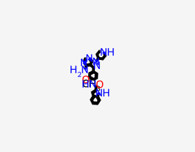 COc1cc(-c2nn(C3CCNCC3)c3ncnc(N)c23)ccc1NC(=O)c1cc2ccccc2[nH]1